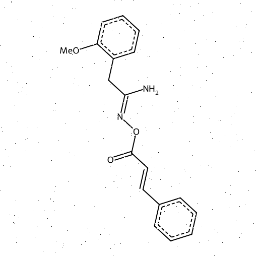 COc1ccccc1C/C(N)=N/OC(=O)/C=C/c1ccccc1